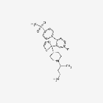 CC(CCN)N1CCC(C2(c3cc(F)ccc3-c3ccc(S(C)(=O)=O)cc3)OC=CO2)CC1